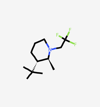 C[C@H]1[C@H](C(C)(C)C)CCCN1CC(F)(F)F